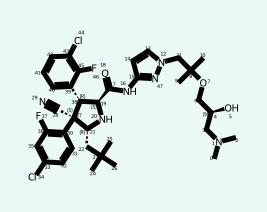 CN(C)C[C@H](O)COC(C)(C)Cn1ccc(NC(=O)[C@H]2N[C@H](CC(C)(C)C)[C@@](C#N)(c3ccc(Cl)cc3F)[C@@H]2c2cccc(Cl)c2F)n1